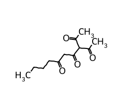 CCCCC(=O)CC(=O)C(C(C)=O)C(C)=O